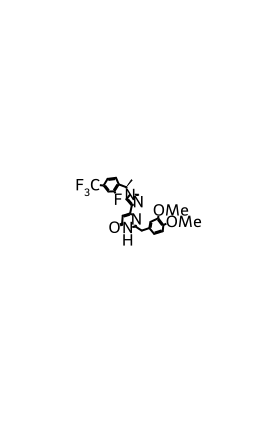 COc1ccc(Cc2nc(-c3cn([C@H](C)c4ccc(C(F)(F)F)cc4F)cn3)cc(=O)[nH]2)cc1OC